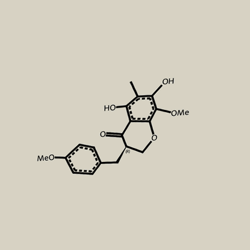 COc1ccc(C[C@@H]2COc3c(OC)c(O)c(C)c(O)c3C2=O)cc1